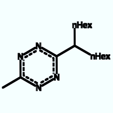 CCCCCCC(CCCCCC)c1nnc(C)nn1